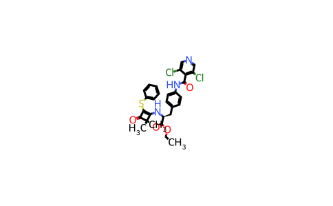 CCOC(=O)[C@H](Cc1ccc(NC(=O)c2c(Cl)cncc2Cl)cc1)NC1=C(Sc2ccccc2)C(=O)C1(C)C